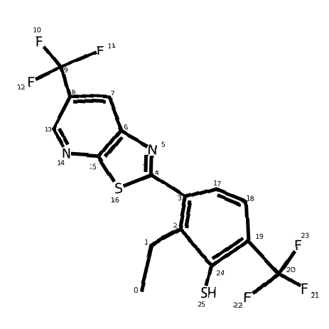 CCc1c(-c2nc3cc(C(F)(F)F)cnc3s2)ccc(C(F)(F)F)c1S